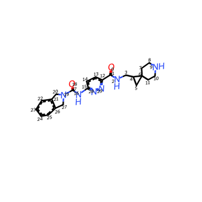 O=C(NCC1CC12CCNCC2)c1ccc(NC(=O)N2Cc3ccccc3C2)nn1